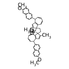 COc1ccc2cc(C3C=CC=CC4=C3C=C(C)[C]43CC[C]4(C(C)=CC5=C4C=CC=CC5c4ccc5cc(OC)ccc5c4)[Zr]3([Cl])[Cl])ccc2c1